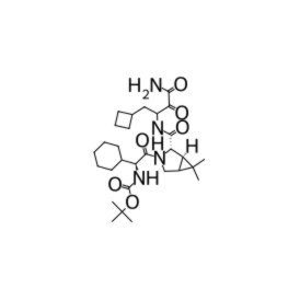 CC(C)(C)OC(=O)N[C@H](C(=O)N1CC2[C@@H]([C@H]1C(=O)NC(CC1CCC1)C(=O)C(N)=O)C2(C)C)C1CCCCC1